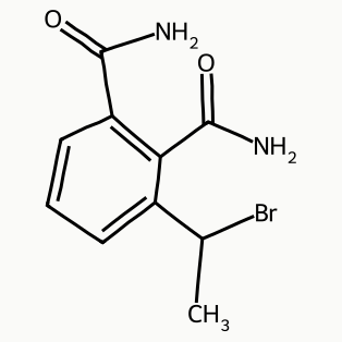 CC(Br)c1cccc(C(N)=O)c1C(N)=O